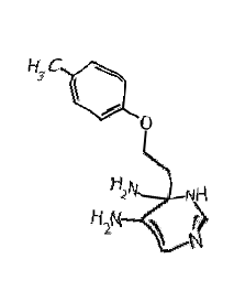 Cc1ccc(OCCC2(N)NC=NC=C2N)cc1